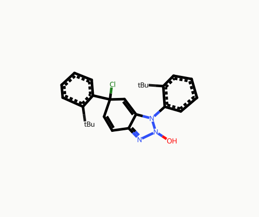 CC(C)(C)c1ccccc1N1C2=CC(Cl)(c3ccccc3C(C)(C)C)C=CC2=NN1O